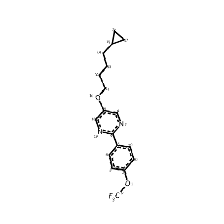 FC(F)(F)Oc1ccc(-c2ncc(OCCCCC3CC3)cn2)cc1